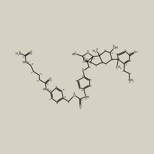 CCCC1OC2CC3CC(C4(C)C=CC(=O)C=C4CCN)C(O)CC3(C)C2(C(=O)COc2ccc(NC(=O)OCc3ccc(NC(=O)CCCCNC(N)=O)cc3)cc2)O1